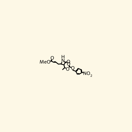 COC(=O)C=CCC1NC(=O)C1C(C)OC(=O)OCc1ccc([N+](=O)[O-])cc1